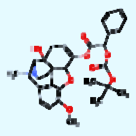 COc1ccc2c3c1OC1C(OC(=O)C(OC(=O)OC(C)(C)C)c4ccccc4)=CCC4(O)C(C2)N(C)CCC314